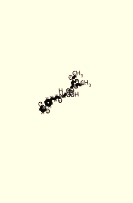 CCC(=O)OCC(COP(=O)(O)OCCNC(=O)CCCc1ccc(N2C(=O)C=CC2=O)cc1)OC(=O)CC